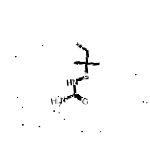 CCC(C)(C)SNC(N)=O